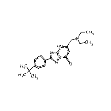 CCN(CC)Cc1cc(=O)n2nc(-c3ccc(C(C)(C)C)cc3)nc2[nH]1